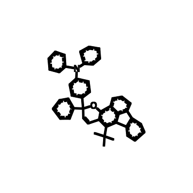 CC(C)(C)c1c2c(c3cccc4c3c1-c1ccccc1-4)OC(c1ccccc1)(c1ccc(N(c3ccccc3)c3ccccc3)cc1)C=C2